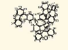 c1ccc2c(c1)Oc1ccccc1C21c2ccccc2-c2c(N(c3ccc(-c4cccc5sc6ccccc6c45)cc3)c3ccc4c(c3)-c3ccccc3C43c4ccccc4Sc4ccccc43)cccc21